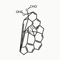 O=COC1(OC=O)C2=Cc3cc4c5c6c3C13c1c-6c6c7c8c(cc9ccc%10c(c97)C67C(C(=O)O)(C(=O)O)C57C(=C%10)C4)CC(=CC23)c18